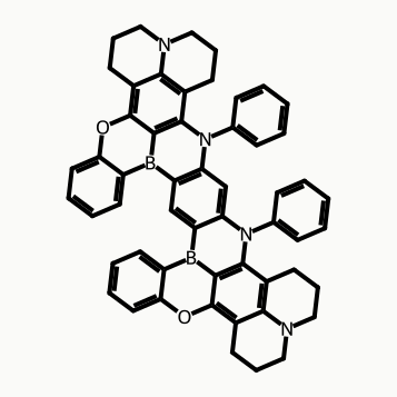 c1ccc(N2c3cc4c(cc3B3c5ccccc5Oc5c6c7c(c2c53)CCCN7CCC6)B2c3ccccc3Oc3c5c6c(c(c32)N4c2ccccc2)CCCN6CCC5)cc1